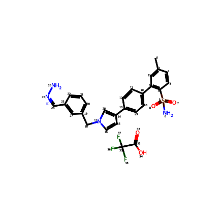 Cc1ccc(S(N)(=O)=O)c(-c2ccc(-c3ccn(Cc4cccc(/C=N\N)c4)c3)cc2)c1.O=C(O)C(F)(F)F